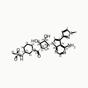 Cn1ccc(-c2cn([C@@H]3O[C@H](C(=O)N4CCC[C@H](NS(C)(=O)=O)C4)[C@@H](O)[C@H]3O)c3ncnc(N)c23)n1